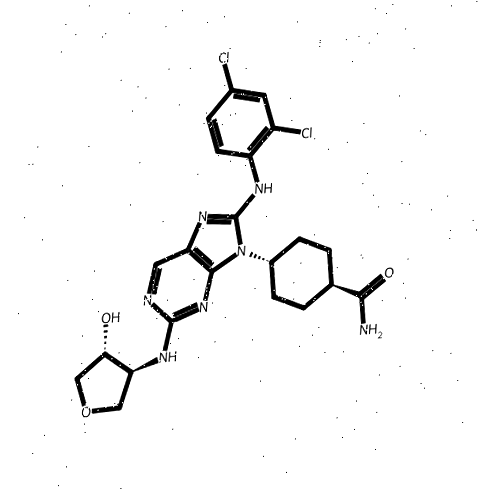 NC(=O)[C@H]1CC[C@H](n2c(Nc3ccc(Cl)cc3Cl)nc3cnc(N[C@H]4COC[C@@H]4O)nc32)CC1